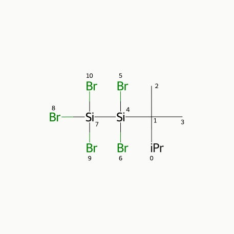 CC(C)C(C)(C)[Si](Br)(Br)[Si](Br)(Br)Br